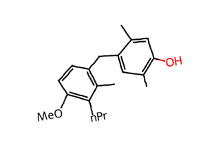 CCCc1c(OC)ccc(Cc2cc(C)c(O)cc2C)c1C